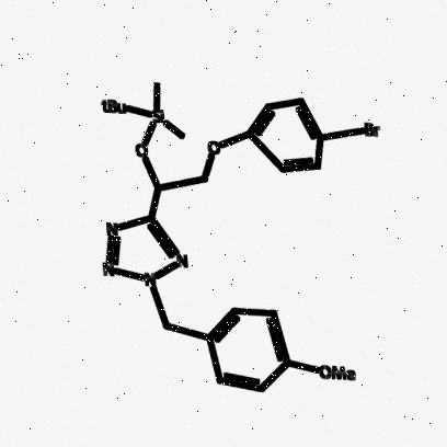 COc1ccc(Cn2nnc(C(COc3ccc(Br)cc3)O[Si](C)(C)C(C)(C)C)n2)cc1